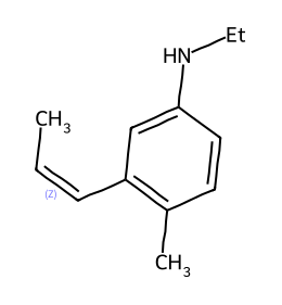 C/C=C\c1cc(NCC)ccc1C